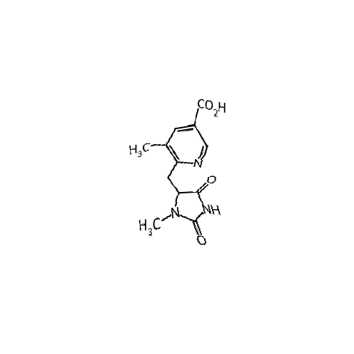 Cc1cc(C(=O)O)cnc1CC1C(=O)NC(=O)N1C